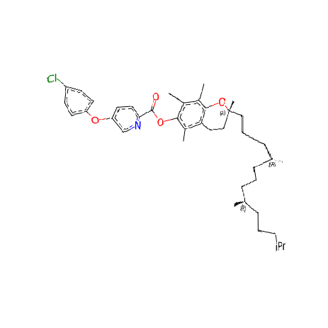 Cc1c(C)c2c(c(C)c1OC(=O)c1ccc(Oc3ccc(Cl)cc3)cn1)CC[C@@](C)(CCC[C@H](C)CCC[C@H](C)CCCC(C)C)O2